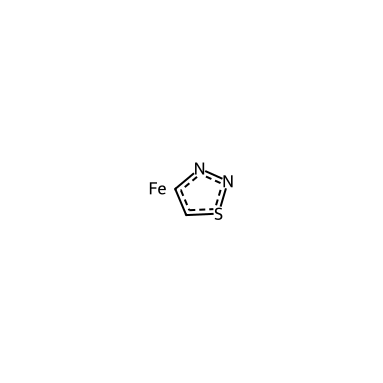 [Fe].c1csnn1